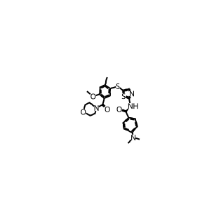 COc1cc(C)c(Sc2cnc(NC(=O)c3ccc(N(C)C)cc3)s2)cc1C(=O)N1CCOCC1